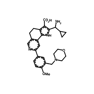 COc1ccc(-c2cc3c(cn2)CCc2c-3[nH]c(C(N)C3CC3)c2C(=O)O)cc1CN1CCOCC1